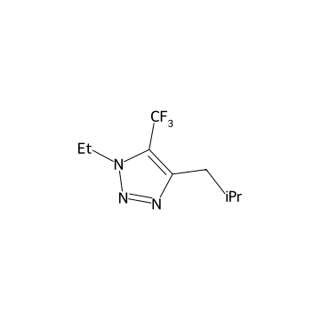 CCn1nnc(CC(C)C)c1C(F)(F)F